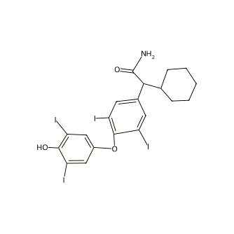 NC(=O)C(c1cc(I)c(Oc2cc(I)c(O)c(I)c2)c(I)c1)C1CCCCC1